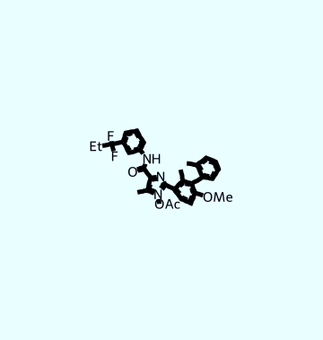 CCC(F)(F)c1cccc(NC(=O)c2nc(-c3ccc(OC)c(-c4ccccc4C)c3C)n(OC(C)=O)c2C)c1